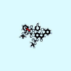 CN1CC[C@H](c2c(OC(=O)N(C)C[C@@H]3CCCCN3C(=O)OC(C)(C)C)cc(OC(=O)OC(C)(C)C)c3c(=O)cc(-c4ccccc4Cl)oc23)[C@H](OC(=O)OC(C)(C)C)C1